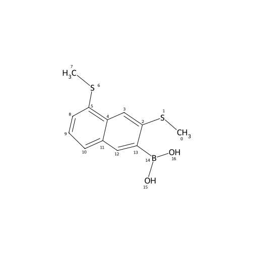 CSc1cc2c(SC)cccc2cc1B(O)O